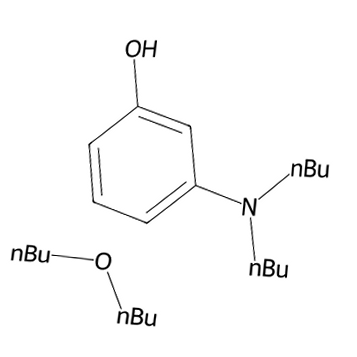 CCCCN(CCCC)c1cccc(O)c1.CCCCOCCCC